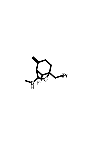 C=C1CCC2(CC(C)C)OC(BC)C1C2C(C)C